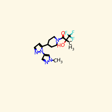 Cn1cc(-n2nccc2C2CCN(C(=O)C(C)(O)C(F)(F)F)CC2)cn1